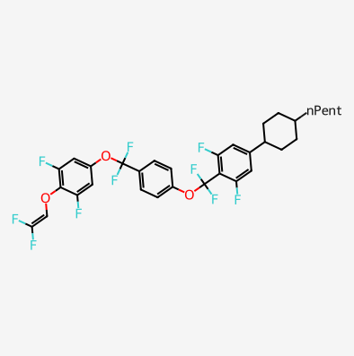 CCCCCC1CCC(c2cc(F)c(C(F)(F)Oc3ccc(C(F)(F)Oc4cc(F)c(OC=C(F)F)c(F)c4)cc3)c(F)c2)CC1